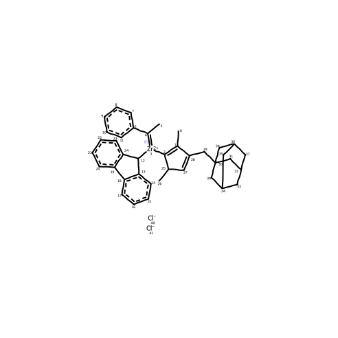 CC1=[C](/[Zr+2](=[C](\C)c2ccccc2)[CH]2c3ccccc3-c3ccccc32)C(C)C=C1CC12CC3CC(CC(C3)C1)C2.[Cl-].[Cl-]